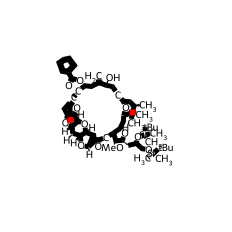 C=C1C[C@@H](OC(=O)c2ccccc2)CC[C@@]23CC4O[C@H]5[C@@H](O2)[C@H]2O[C@H](CC[C@@H]2O[C@H]5[C@H]4O3)CC(=O)CC2[C@H](C[C@H]3OC(CC[C@H]1O)C[C@@H](C)C3(C)C)O[C@H](CC(CO[Si](C)(C)C(C)(C)C)O[Si](C)(C)C(C)(C)C)[C@@H]2OC